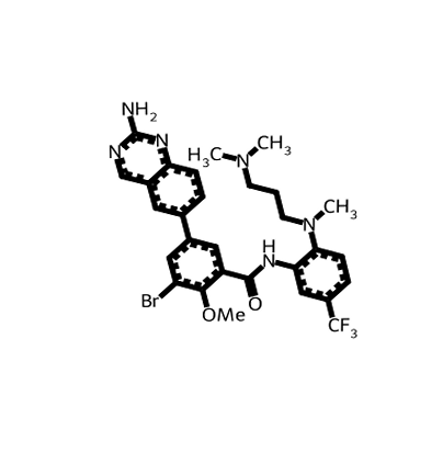 COc1c(Br)cc(-c2ccc3nc(N)ncc3c2)cc1C(=O)Nc1cc(C(F)(F)F)ccc1N(C)CCCN(C)C